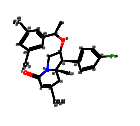 C[C@@H](O[C@H]1CN2C(=O)C=C(C(=O)O)C[C@H]2[C@@H]1c1ccc(F)cc1)c1cc(C(F)(F)F)cc(C(F)(F)F)c1